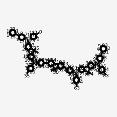 Cc1ccc(N(c2ccc(-c3ccccc3)cc2)c2ccc3c(c2)C(C)(C)c2cc(N(c4ccc(C)cc4)c4ccc(-c5ccc6c(c5)C(C)(C)c5cc(-c7ccc(N(c8ccc(C)cc8)c8ccc9c(c8)C(C)(C)c8cc(N(c%10ccc(C)cc%10)c%10ccc(-c%11ccccc%11)cc%10)ccc8-9)cc7)ccc5-6)cc4)ccc2-3)cc1